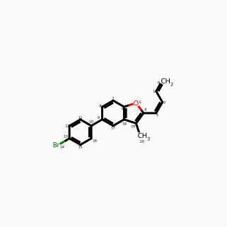 C=C/C=C\c1oc2ccc(-c3ccc(Br)cc3)cc2c1C